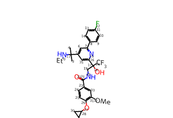 CCNC(C)(C)c1cc(-c2ccc(F)cc2)nc(C(O)(CNC(=O)c2ccc(OC3CC3)c(OC)c2)C(F)(F)F)c1